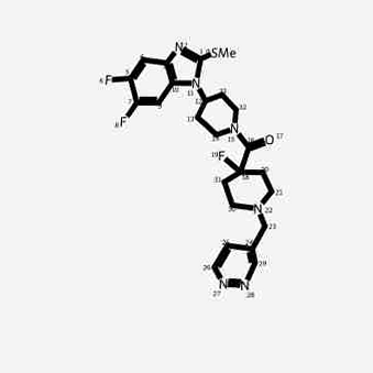 CSc1nc2cc(F)c(F)cc2n1C1CCN(C(=O)C2(F)CCN(Cc3ccnnc3)CC2)CC1